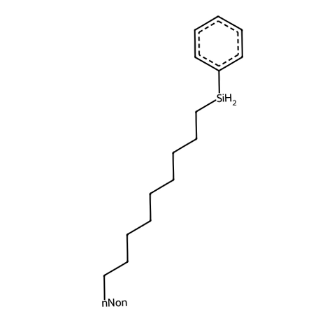 CCCCCCCCCCCCCCCCCC[SiH2]c1ccccc1